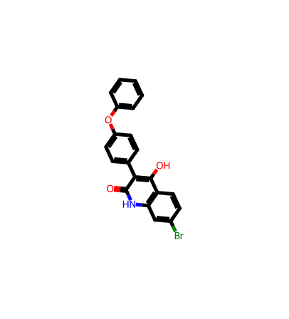 O=c1[nH]c2cc(Br)ccc2c(O)c1-c1ccc(Oc2ccccc2)cc1